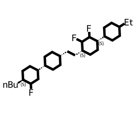 CCCC[C@H]1CCC([C@H]2CC[C@@H](CC[C@H]3CC[C@@H](C4CCC(CC)CC4)C(F)C3F)CC2)CC1F